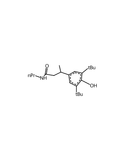 CCCNC(=O)CC(C)c1cc(C(C)(C)C)c(O)c(C(C)(C)C)c1